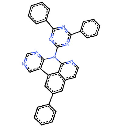 c1ccc(-c2cc3c4c(nccc4c2)N(c2nc(-c4ccccc4)nc(-c4ccccc4)n2)c2ncncc2-3)cc1